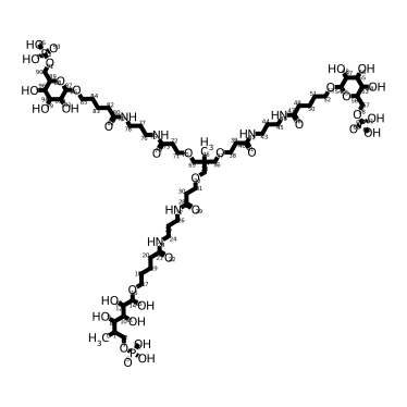 CC(COP(=O)(O)O)C(O)C(O)C(O)C(O)OCCCCC(=O)NCCCNC(=O)CCOCC(C)(COCCC(=O)NCCCNC(=O)CCCCOC1OC(COP(=O)(O)O)C(O)C(O)C1O)COCCC(=O)NCCCNC(=O)CCCCOC1OC(COP(=O)(O)O)C(O)C(O)C1O